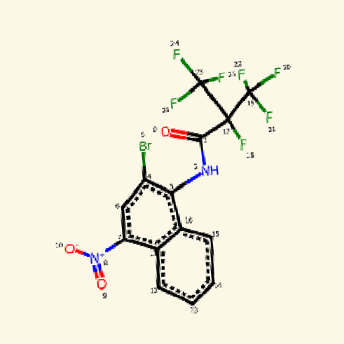 O=C(Nc1c(Br)cc([N+](=O)[O-])c2ccccc12)C(F)(C(F)(F)F)C(F)(F)F